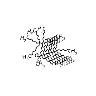 CCCCCCC(CCCCC(CCCCCC)(C(=O)OCC)C(CCCCCC)(CCCCCC)C(CCCCCC)(CCCCCC)C(CCCCCC)(CCCCCC)C(CCCCCC)(CCCCCC)C(CCCCCC)(CCCCCC)C(CCCCCC)(CCCCCC)CCCCCC)C(CCCCCC)(CCCCCC)CCCCCC